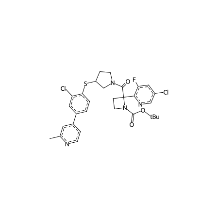 Cc1cc(-c2ccc(SC3CCN(C(=O)C4(c5ncc(Cl)cc5F)CCN4C(=O)OC(C)(C)C)C3)c(Cl)c2)ccn1